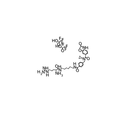 N=C(N)NCCCC(N)C(=O)NCCCCCCNC(=O)c1ccc(CN(C(=O)c2ccc3c(c2)OCC(=O)N3)C2CC2)cc1.O=C(O)C(F)(F)F.O=C(O)C(F)(F)F